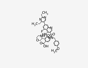 CCc1ncc(-c2cc(F)c3c(Nc4cccc(C(=O)O)c4C4COCCN4)c(S(=O)(=O)NCc4ccc(OC)cc4)cnc3c2)c(CC)n1